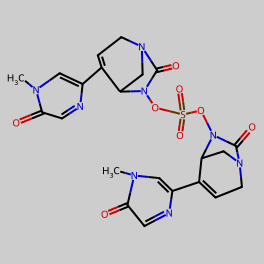 Cn1cc(C2=CCN3CC2N(OS(=O)(=O)ON2C(=O)N4CC=C(c5cn(C)c(=O)cn5)C2C4)C3=O)ncc1=O